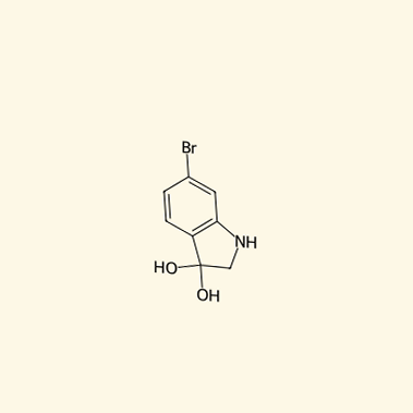 OC1(O)CNc2cc(Br)ccc21